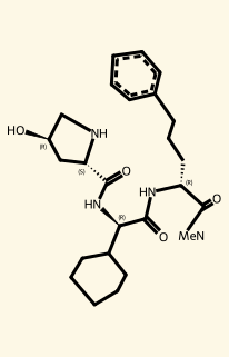 CNC(=O)[C@@H](CCCc1ccccc1)NC(=O)[C@H](NC(=O)[C@@H]1C[C@@H](O)CN1)C1CCCCC1